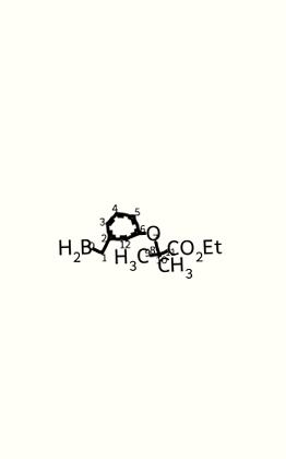 BCc1cccc(OC(C)(C)C(=O)OCC)c1